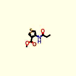 CCC(=O)Nc1cscc1C(=O)OC